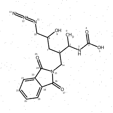 CC(NC(=O)O)C(CC(O)CN=[N+]=[N-])CN1C(=O)c2ccccc2C1=O